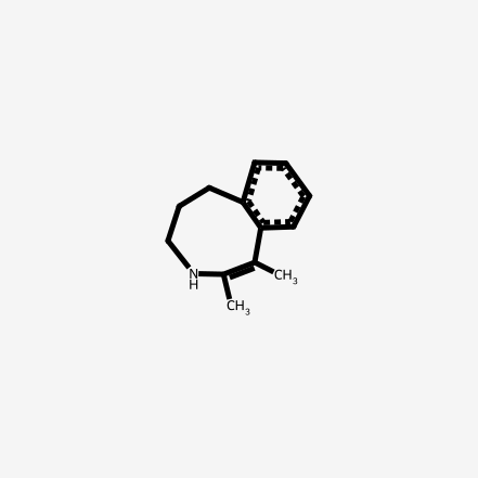 C/C1=C(\C)c2ccccc2CCCN1